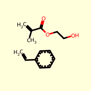 C=C(C)C(=O)OCCO.C=Cc1ccccc1